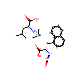 CBC.CC(C)C[C@H](N)C(=O)O.O=C=N[C@@H](Cc1cccc2ccccc12)C(=O)O